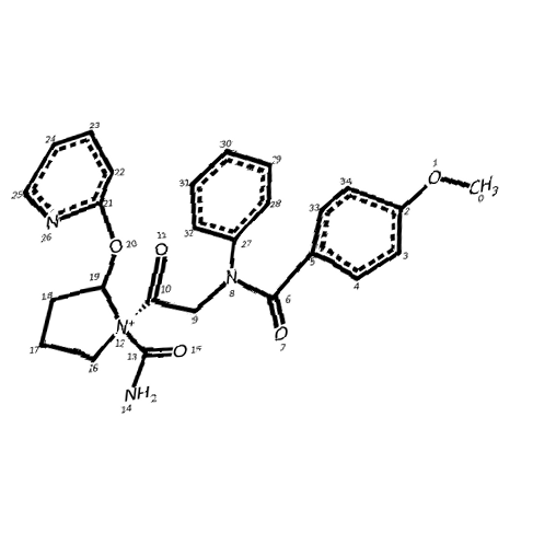 COc1ccc(C(=O)N(CC(=O)[N@+]2(C(N)=O)CCCC2Oc2ccccn2)c2ccccc2)cc1